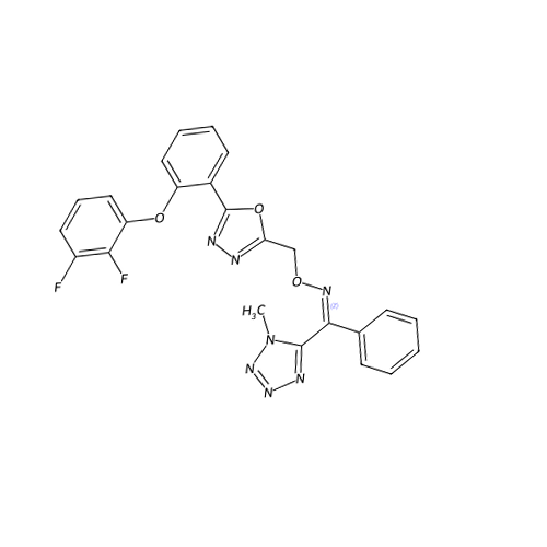 Cn1nnnc1/C(=N\OCc1nnc(-c2ccccc2Oc2cccc(F)c2F)o1)c1ccccc1